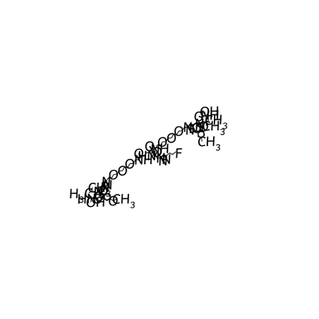 COc1ccc(S(=O)(=O)N(Cc2cn(CCOCCOCCOCCNC(=O)CCC(NC(=O)Cn3cc(CCCF)nn3)C(=O)NCCOCCOCCOCCn3cc(CN([C@@H](C(=O)NO)C(C)C)S(=O)(=O)c4ccc(C)cc4)nn3)nn2)[C@@H](C(=O)NO)C(C)C)cc1